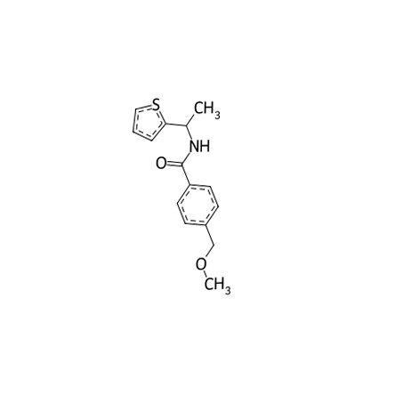 COCc1ccc(C(=O)NC(C)c2cccs2)cc1